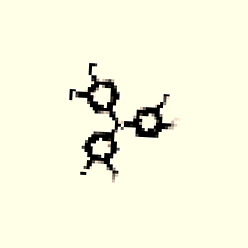 Fc1ccc(B(c2ccc(F)c(F)c2)c2ccc(F)c(F)c2)cc1F